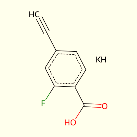 C#Cc1ccc(C(=O)O)c(F)c1.[KH]